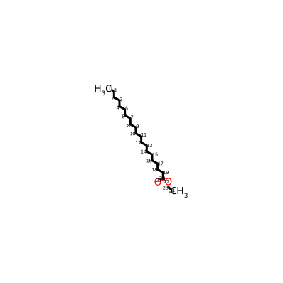 CCCCCCCCCCCCCCCCCCCCC(=O)OCC